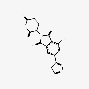 O=C1CCC(N2C(=O)c3cc(C4=NN=CC4)cc(O)c3C2=O)C(=O)N1